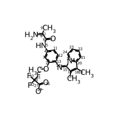 COc1cc(NC(=O)[C@H](C)N)ccc1N=C1C(C)=C(C)c2cccc[n+]21.O=C([O-])C(F)(F)F